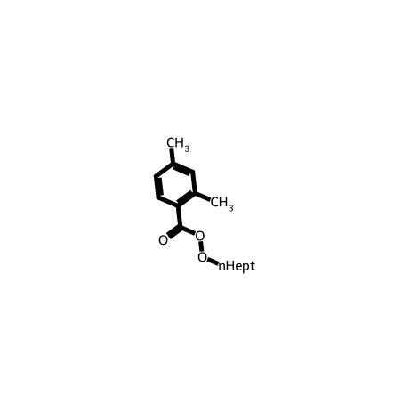 [CH2]CCCCCCOOC(=O)c1ccc(C)cc1C